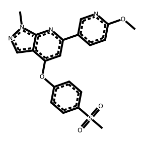 COc1ccc(-c2cc(Oc3ccc(S(C)(=O)=O)cc3)c3cnn(C)c3n2)cn1